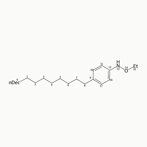 CCCCCCCCCCCCCCCCCCc1ccc(NOCC)cc1